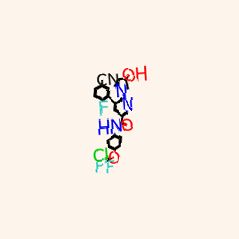 N#Cc1ccc(F)c(-c2cc(C(=O)Nc3ccc(OC(F)(F)Cl)cc3)cnc2N2CCC(O)C2)c1